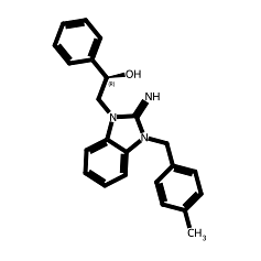 Cc1ccc(Cn2c(=N)n(C[C@H](O)c3ccccc3)c3ccccc32)cc1